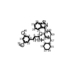 COc1cc(/C=C/C(=O)NC[C@H]2CCCC[C@@H]2CN2CCN(c3nsc4ccccc34)CC2)cc(OC)c1